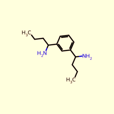 CCCC(N)c1cccc(C(N)CCC)c1